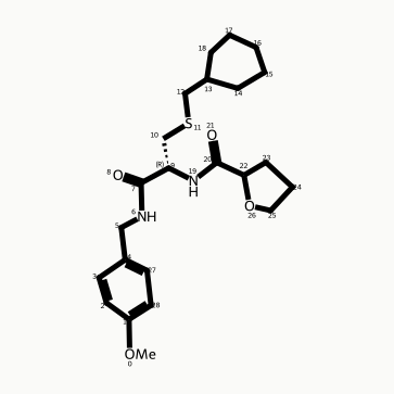 COc1ccc(CNC(=O)[C@H](CSCC2CCCCC2)NC(=O)C2CCCO2)cc1